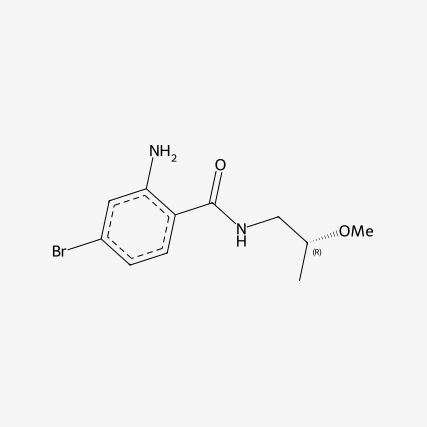 CO[C@H](C)CNC(=O)c1ccc(Br)cc1N